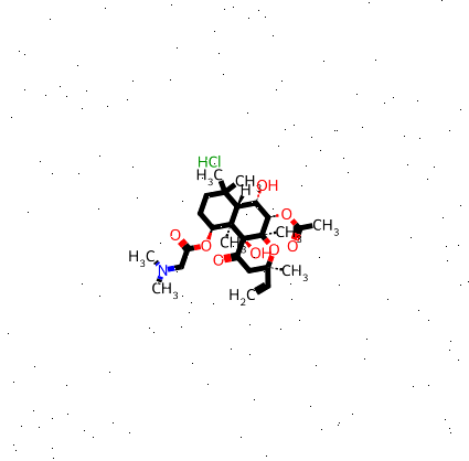 C=C[C@@]1(C)CC(=O)[C@]2(O)[C@@]3(C)[C@@H](OC(=O)CN(C)C)CCC(C)(C)[C@@H]3[C@H](O)[C@H](OC(C)=O)[C@@]2(C)O1.Cl